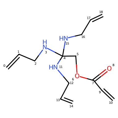 C=CCNC(COC(=O)C=C)(NCC=C)NCC=C